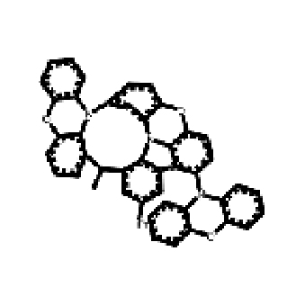 CC(C)c1cc(C(C)C)c2c(c1)C(C)c1cccc3c1N(c1ccc4c(c1)B2c1cc(N2c5ccccc5Oc5ccccc52)ccc1O4)c1ccccc1O3